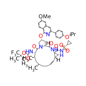 COc1ccc2c(O[C@@H]3C[C@H]4C(=O)N[C@]5(C(=O)NS(=O)(=O)C6CC6)C[C@@H]5/C=C\CC[C@@H](C)C[C@@H](C)[C@H](NC(=O)OC(C)(C)C(F)(F)F)C(=O)N4C3)nc(-c3ccc(OC(C)C)cc3)cc2c1